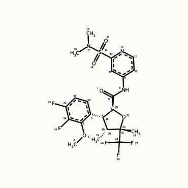 COc1c([C@@H]2[C@@H](C(=O)Nc3ccnc(S(=O)(=O)N(C)C)c3)O[C@](C)(C(F)(F)F)[C@@H]2C)ccc(F)c1F